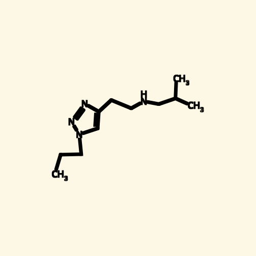 CCCn1cc(CCNCC(C)C)nn1